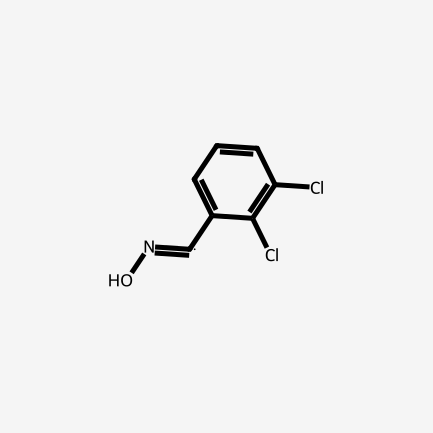 O/N=[C]/c1cccc(Cl)c1Cl